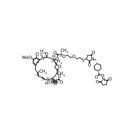 COc1cc2cc(c1Cl)N(C)C(=O)C[C@H](OC(=O)[C@H](C)OCCOCCSC1CC(=O)N(C[C@H]3CC[C@H](C(=O)ON4C(=O)CCC4=O)CC3)C1=O)[C@@]1(C)C[C@@](C)(O1)C1C[C@@](O)(NC(=O)O1)[C@H](OC)/C=C/C=C(\C)C2